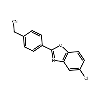 N#CCc1ccc(-c2nc3cc(Cl)ccc3o2)cc1